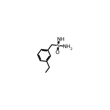 CCc1cccc(CS(=N)(N)=O)c1